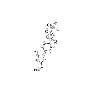 O=C1OC(CO)CN1c1ccc(S(=O)(=O)NC(=O)C(Cl)(Cl)Cl)cc1